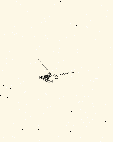 CCCCCCCCCCCCCC(=O)OC[C@H](COP(=O)(CC(=O)O)OP(=O)(O)O)OC(=O)CCCCCCCCCCCCC